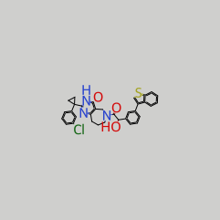 O=C([C@H](O)c1cccc(-c2csc3ccccc23)c1)N1CCCc2nc(C3(c4cccc(Cl)c4)CC3)[nH]c(=O)c2C1